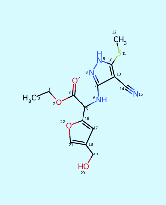 CCOC(=O)C(Nc1n[nH]c(SC)c1C#N)c1cc(CO)co1